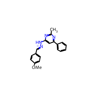 COc1ccc(/C=N/Nc2cc(-c3ccccc3)nc(C)n2)cc1